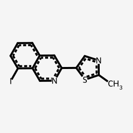 Cc1ncc(-c2cc3cccc(I)c3cn2)s1